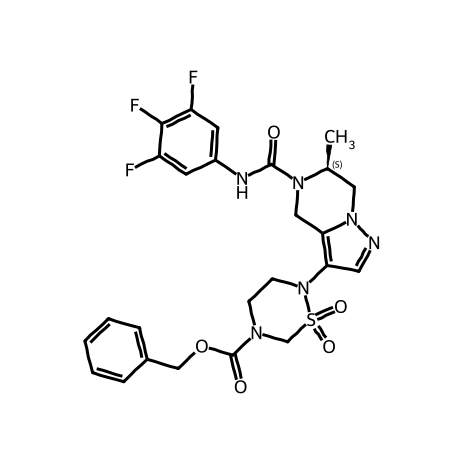 C[C@H]1Cn2ncc(N3CCN(C(=O)OCc4ccccc4)CS3(=O)=O)c2CN1C(=O)Nc1cc(F)c(F)c(F)c1